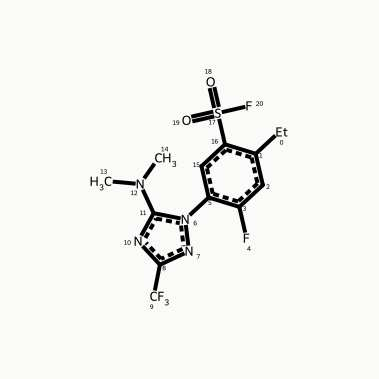 CCc1cc(F)c(-n2nc(C(F)(F)F)nc2N(C)C)cc1S(=O)(=O)F